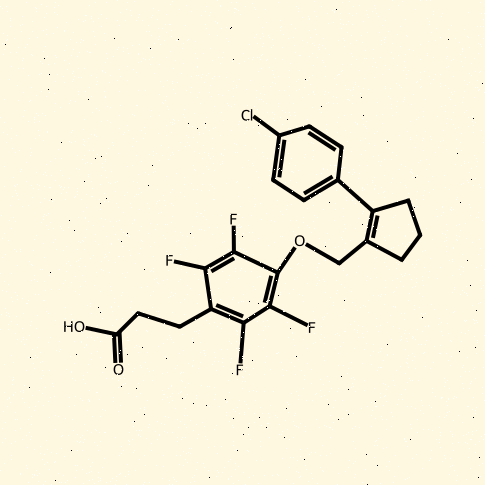 O=C(O)CCc1c(F)c(F)c(OCC2=C(c3ccc(Cl)cc3)CCC2)c(F)c1F